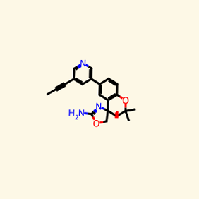 CC#Cc1cncc(-c2ccc3c(c2)C2(COC(N)=N2)C2(CCC2)C(C)(C)O3)c1